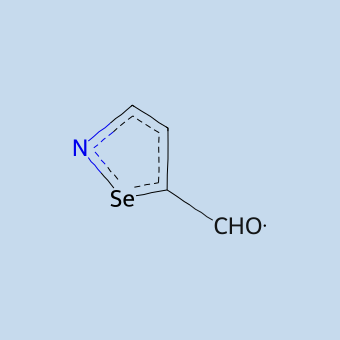 O=[C]c1ccn[se]1